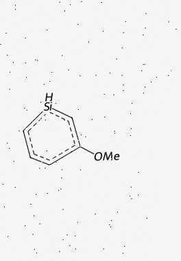 COc1ccc[siH]c1